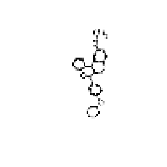 CCOc1ccc2c(c1)C(c1ccccc1)=C(C(=O)c1ccc(OC3CCCCC3)cc1)CC2